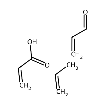 C=CC.C=CC(=O)O.C=CC=O